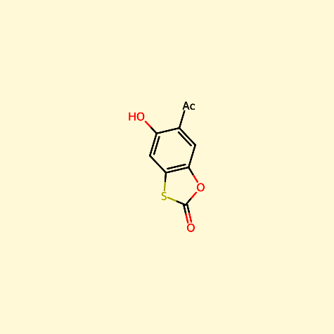 CC(=O)c1cc2oc(=O)sc2cc1O